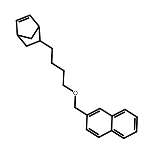 C1=CC2CC1CC2CCCCOCc1ccc2ccccc2c1